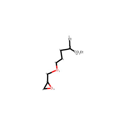 [CH2]CC(CCCOCC1CO1)C(=O)OCC